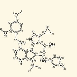 COc1ccc(CNc2ncnc3c2c(-c2noc(C4CC4)c2C(=O)O)c(CNc2cnn(C)c2)n3C(C)C)c(OC)c1